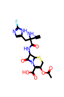 C#CC(N)(Cc1cnc(F)[nH]1)C(=O)NC1C(=O)N2C(C(=O)O)=C(OC(C)=O)CSC12